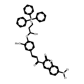 CCN(CC)c1ccc2cc(C(=O)/C=C/c3ccc(OC(O)CC[PH](c4ccccc4)(c4ccccc4)c4ccccc4)c(OC)c3)c(=O)oc2c1